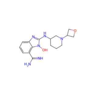 N=C(N)c1cccc2nc(NC3CCCN(C4COC4)C3)n(O)c12